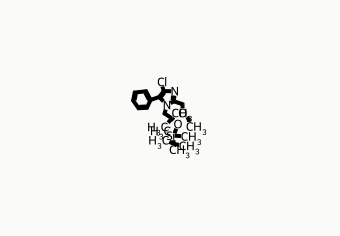 CCOCc1nc(Cl)c(-c2ccccc2)n1CC(C)(C)O[Si](C)(C)C(C)(C)C